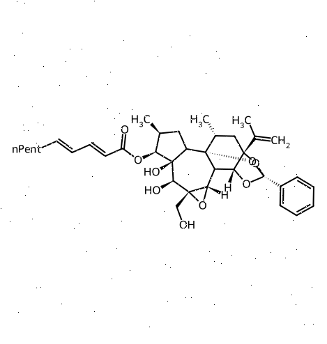 C=C(C)[C@]12C[C@@H](C)[C@@]34O[C@](c5ccccc5)(O[C@@H]1C3[C@@H]1O[C@]1(CO)[C@@H](O)[C@@]1(O)C4C[C@H](C)[C@@H]1OC(=O)/C=C/C=C/CCCCC)O2